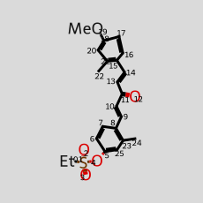 CCS(=O)(=O)Oc1ccc(/C=C/C(=O)/C=C/c2ccc(OC)cc2C)c(C)c1